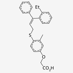 CCc1ccccc1/C(=C\CSc1ccc(OCC(=O)O)cc1C)c1ccccc1